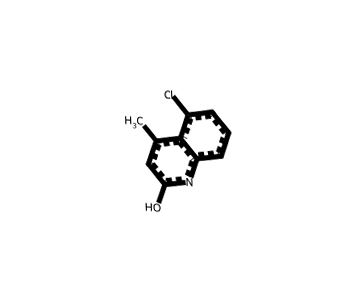 Cc1cc(O)nc2cc[c]c(Cl)c12